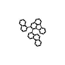 c1ccc2c(c1)-c1cccc3cc(-c4cccc5ccccc45)c(-c4cccc5c4ccc4ccccc45)c-2c13